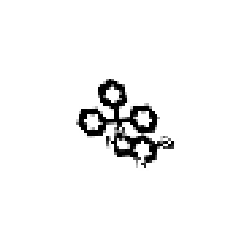 Brc1cnc2cnn(C(c3ccccc3)(c3ccccc3)c3ccccc3)c2c1